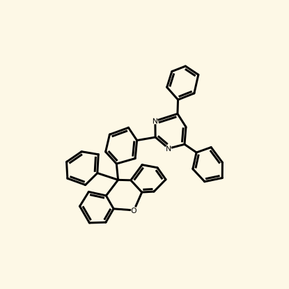 c1ccc(-c2cc(-c3ccccc3)nc(-c3cccc(C4(c5ccccc5)c5ccccc5Oc5ccccc54)c3)n2)cc1